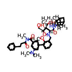 COc1c(CN2O[C@@H](CO)[C@@H]([C@H](C)O)[C@H]2C(=O)N[C@H]2CC3C[C@@H]([C@@H]2C)C3(C)C)cccc1-c1cc(C(=O)N(C)C(=O)CCc2ccccc2)cc(N(C)C)c1